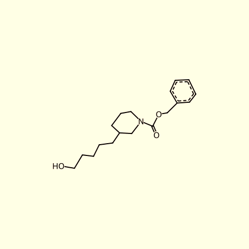 O=C(OCc1ccccc1)N1CCCC(CCCCCO)C1